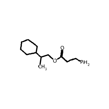 CC(COC(=O)CCP)C1CCCCC1